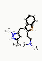 Cc1cc(Cc2c(CCN(C)C)sc3ccccc23)n(C)n1